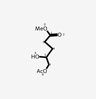 COC(=O)CCC(O)COC(C)=O